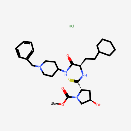 CC(C)(C)OC(=O)N1C[C@H](O)C[C@H]1C(=S)N[C@H](CCC1CCCCC1)C(=O)NC1CCN(Cc2ccccc2)CC1.Cl